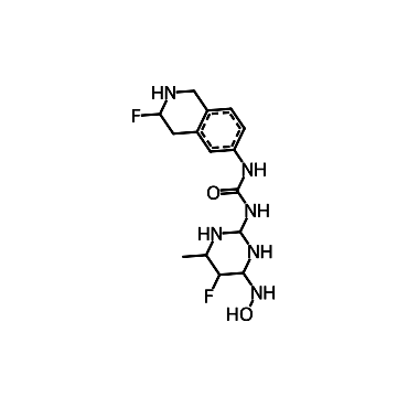 CC1NC(NC(=O)Nc2ccc3c(c2)CC(F)NC3)NC(NO)C1F